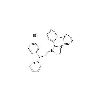 Br.c1ccc(C(CCN2CCN3c4ccccc4-c4ccccc4C23)c2ccccc2)cc1